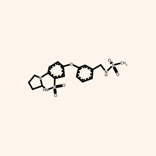 CS(=O)(=O)NCc1cccc(Oc2ccc3c(c2)S(=O)(=O)NC2CCCN32)c1